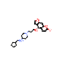 O=c1ccc2c(OCCCN3CCC(NCC4CCCC4)CC3)c3ccoc3cc2o1